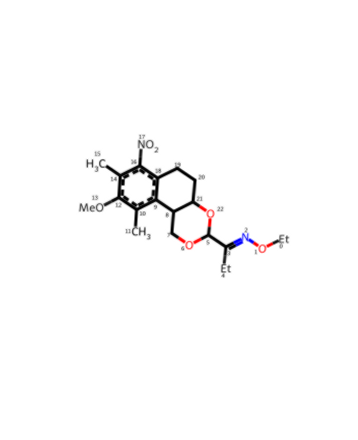 CCON=C(CC)C1OCC2c3c(C)c(OC)c(C)c([N+](=O)[O-])c3CCC2O1